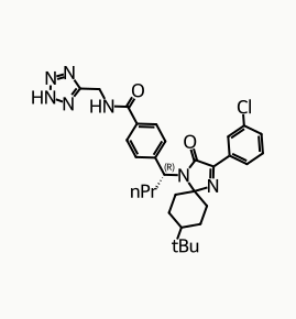 CCC[C@H](c1ccc(C(=O)NCc2nn[nH]n2)cc1)N1C(=O)C(c2cccc(Cl)c2)=NC12CCC(C(C)(C)C)CC2